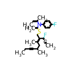 C=C=C(F)/C(CSC(=C)N(/C(C)=C\C)c1ccc(F)cc1)=C(/C)CC(C)C#CCC